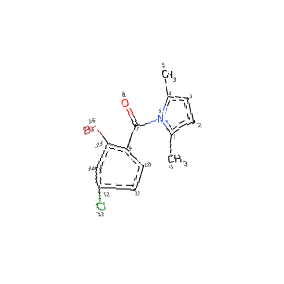 Cc1ccc(C)n1C(=O)c1ccc(Cl)cc1Br